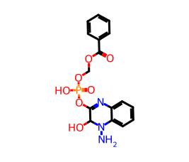 NN1c2ccccc2N=C(OP(=O)(O)OCOC(=O)c2ccccc2)C1O